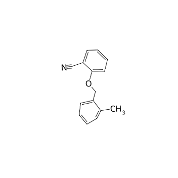 Cc1ccccc1COc1ccccc1C#N